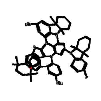 CC(C)(C)c1ccc(N2c3cc(N4c5ccc(F)cc5C5(C)CCCCC45C)cc4c3B(c3cc(C(C)(C)C)cc5c3N4C3(C)CCCCC53C)c3sc4cc5c(cc4c32)C(C)(C)CCC5(C)C)c(-c2ccccc2)c1